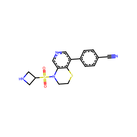 N#Cc1ccc(-c2cncc3c2SCCN3S(=O)(=O)C2CNC2)cc1